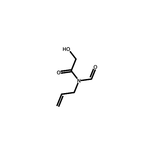 C=CCN(C=O)C(=O)CO